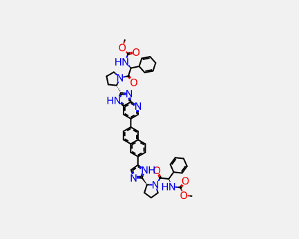 COC(=O)N[C@H](C(=O)N1CCC[C@H]1c1ncc(-c2ccc3cc(-c4cnc5nc([C@@H]6CCCN6C(=O)[C@@H](NC(=O)OC)C6C=CCC=C6)[nH]c5c4)ccc3c2)[nH]1)C1C=CCC=C1